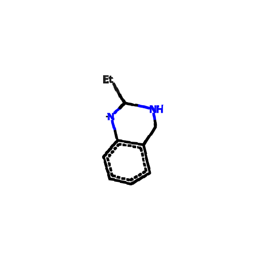 CCC1[N]c2ccccc2CN1